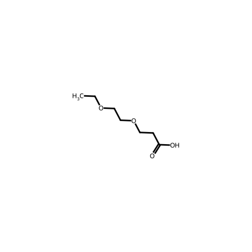 CCOCCOCCC(=O)O